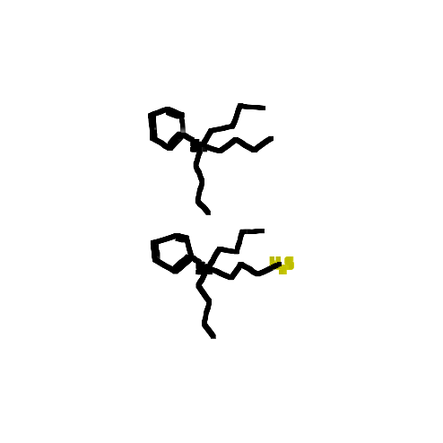 CCC[CH2][Sn]([CH2]CCC)([CH2]CCC)[c]1ccccc1.CCC[CH2][Sn]([CH2]CCC)([CH2]CCC)[c]1ccccc1.S